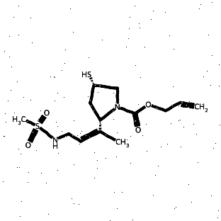 C=CCOC(=O)N1C[C@@H](S)C[C@H]1/C(C)=C\CNS(C)(=O)=O